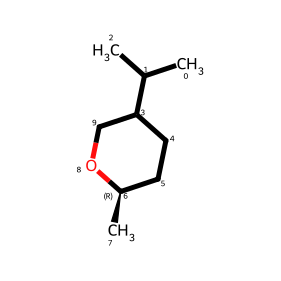 CC(C)C1CC[C@@H](C)OC1